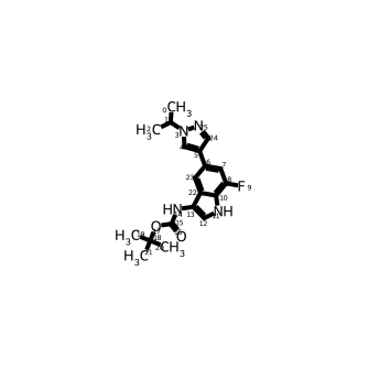 CC(C)n1cc(-c2cc(F)c3[nH]cc(NC(=O)OC(C)(C)C)c3c2)cn1